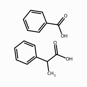 CC(C(=O)O)c1ccccc1.O=C(O)c1ccccc1